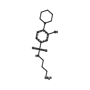 O=C(O)CCCNS(=O)(=O)c1ccc(N2CCCCC2)c(O)c1